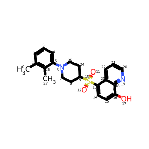 Cc1cccc(N2CCC(S(=O)(=O)c3ccc(O)c4ncccc34)CC2)c1C